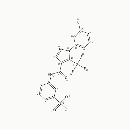 CS(=O)(=O)c1cccc(NC(=O)c2cnn(-c3cccc(Cl)c3)c2C(F)(F)F)c1